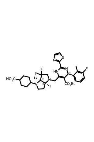 CCOC(=O)C1=C(CN2CC(F)(F)[C@H]3[C@@H]2CCN3C2CCC(C(=O)O)CC2)NC(c2nccs2)=N[C@H]1c1cccc(F)c1C